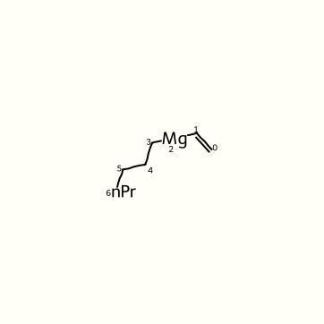 C=[CH][Mg][CH2]CCCCC